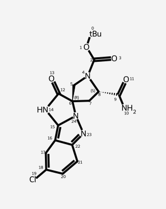 CC(C)(C)OC(=O)N1C[C@]2(C[C@H]1C(N)=O)C(=O)Nc1c3cc(Cl)ccc3nn12